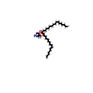 CCCCCC/C=C\CCCCCCCCC1(CCCCCCCC/C=C\CCCCCC)OC2CN(C)C[C@@H]2O1